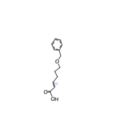 O=C(O)/C=C/CCCOCc1ccccc1